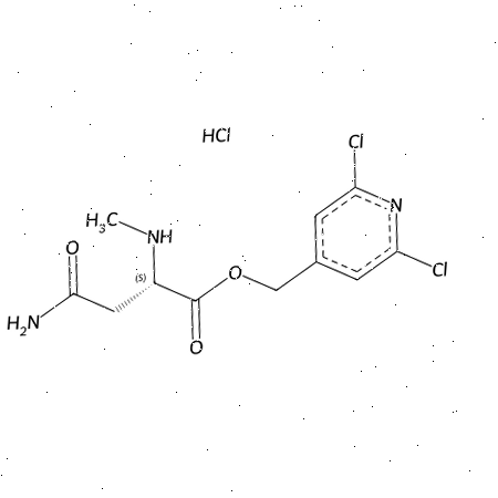 CN[C@@H](CC(N)=O)C(=O)OCc1cc(Cl)nc(Cl)c1.Cl